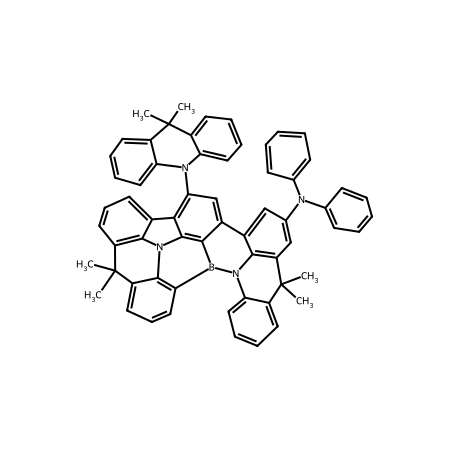 CC1(C)c2ccccc2N(c2cc3c4c5c2c2cccc6c2n5-c2c(cccc2C6(C)C)B4N2c4ccccc4C(C)(C)c4cc(N(c5ccccc5)c5ccccc5)cc-3c42)c2ccccc21